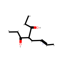 C/C=C/CC(C(=O)CC)C(=O)CC